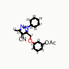 CC(=O)Oc1cccc(OCc2c(C#N)c(C)nn2-c2ccccc2)c1